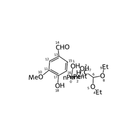 CCCCCO.CCCCCO.CCOC(C)OCC.COc1cc(C=O)ccc1O